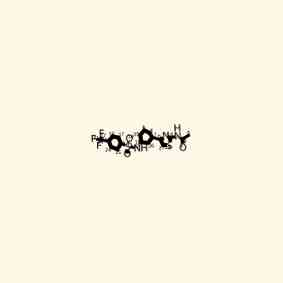 CC(=O)Nc1nc(-c2cccc(NS(=O)(=O)c3ccc(C(F)(F)F)cc3)c2)cs1